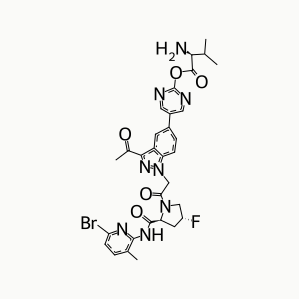 CC(=O)c1nn(CC(=O)N2C[C@H](F)C[C@H]2C(=O)Nc2nc(Br)ccc2C)c2ccc(-c3cnc(OC(=O)[C@@H](N)C(C)C)nc3)cc12